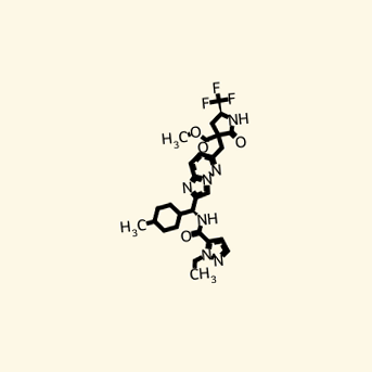 CCn1nccc1C(=O)N[C@H](c1cn2nc(CC3(C(=O)OC)C[C@@H](C(F)(F)F)NC3=O)ccc2n1)C1CCC(C)CC1